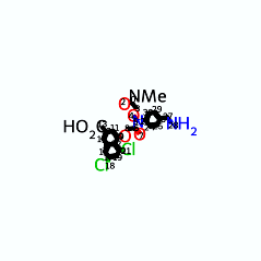 CNC(=O)CON(C(=O)COc1cc(C(=O)O)cc2cc(Cl)cc(Cl)c12)c1ccc(CN)cc1